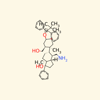 CC(C)(C)[Si](O[C@H]1CC[C@@](C)([C@H]2CC[C@@]3(C)[C@@H](CC[C@@]3(O)c3ccccc3)[C@@H]2CN)[C@@H](CO)C1)(c1ccccc1)c1ccccc1